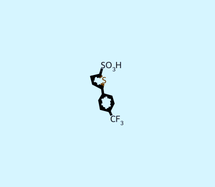 O=S(=O)(O)c1ccc(-c2ccc(C(F)(F)F)cc2)s1